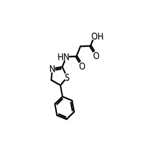 O=C(O)CC(=O)NC1=NCC(c2ccccc2)S1